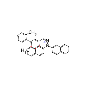 Cc1ccccc1-c1cc(/C=N\N(c2ccc3ccccc3c2)c2ccc3ccccc3c2)ccc1C